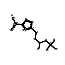 CC(CCc1ccc([N+](=O)[O-])s1)CC(C)(C)C